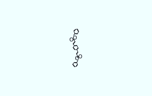 O=C(/C=C/c1ccc(/C=C/C(=O)OCc2ccccc2)cc1)OCc1ccccc1